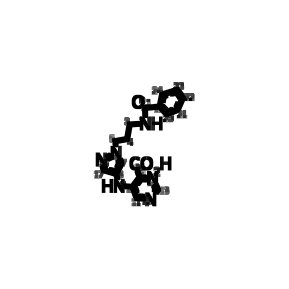 O=C(NCCCn1cc(Nc2cncnc2C(=O)O)cn1)c1ccccc1